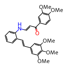 COc1ccc(C(=O)C=CNc2ccccc2C=Cc2cc(OC)c(OC)c(OC)c2)cc1OC